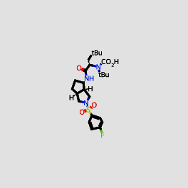 CC(C)(C)C[C@@H](C(=O)N[C@H]1CC[C@@H]2CN(S(=O)(=O)c3ccc(F)cc3)C[C@@H]21)N(C(=O)O)C(C)(C)C